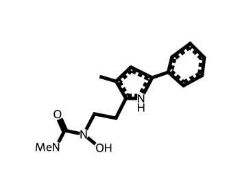 CNC(=O)N(O)CCc1[nH]c(-c2ccccc2)cc1C